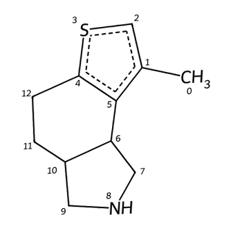 Cc1csc2c1C1CNCC1CC2